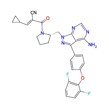 N#C/C(=C\C1CC1)C(=O)N1CCC[C@H]1Cn1nc(-c2ccc(Oc3c(F)cccc3F)cc2)c2c(N)ncnc21